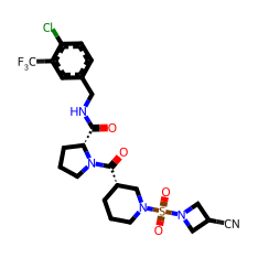 N#CC1CN(S(=O)(=O)N2CCC[C@H](C(=O)N3CCC[C@@H]3C(=O)NCc3ccc(Cl)c(C(F)(F)F)c3)C2)C1